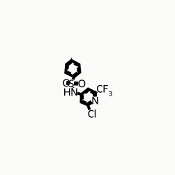 O=S(=O)(Nc1cc(Cl)nc(C(F)(F)F)c1)c1cc[c]cc1